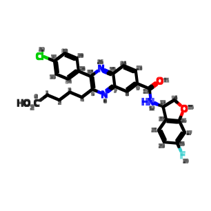 O=C(O)CCCCc1nc2cc(C(=O)N[C@H]3COc4cc(F)ccc43)ccc2nc1-c1ccc(Cl)cc1